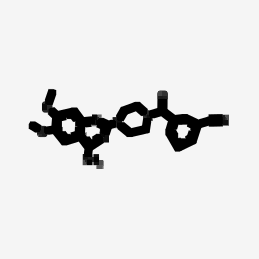 COc1cc2nc(N3CCN(C(=O)c4cccc(C#N)c4)CC3)nc(N)c2cc1OC